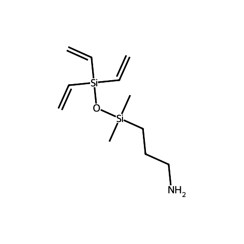 C=C[Si](C=C)(C=C)O[Si](C)(C)CCCN